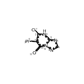 CC(C)c1c(Cl)[nH]c2ncnn2c1=O